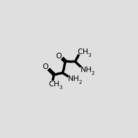 CC(=O)C(N)C(=O)C(C)N